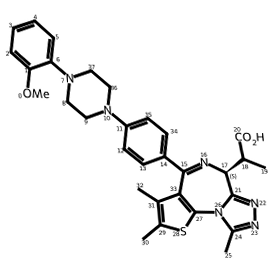 COc1ccccc1N1CCN(c2ccc(C3=N[C@@H](C(C)C(=O)O)c4nnc(C)n4-c4sc(C)c(C)c43)cc2)CC1